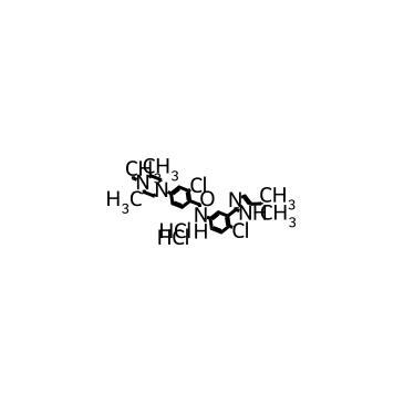 CCN1[C@H](C)CN(c2ccc(C(=O)Nc3ccc(Cl)c(-c4ncc(C(C)C)[nH]4)c3)c(Cl)c2)C[C@@H]1C.Cl.Cl